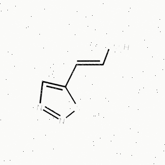 O=C(O)C=Cc1cnns1